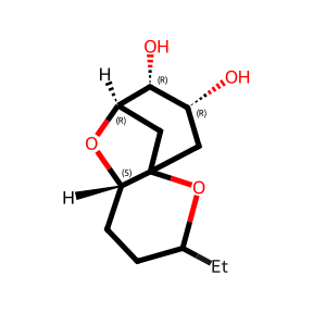 CCC1CC[C@@H]2O[C@@H]3CC2(C[C@@H](O)[C@H]3O)O1